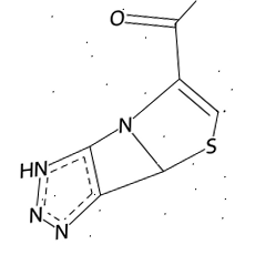 O=C(O)C1=[C]SC2c3nn[nH]c3N12